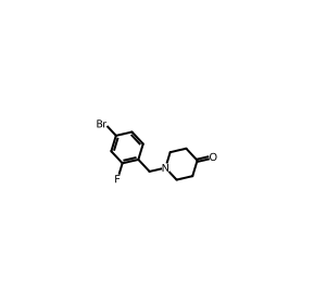 O=C1CCN(Cc2ccc(Br)cc2F)CC1